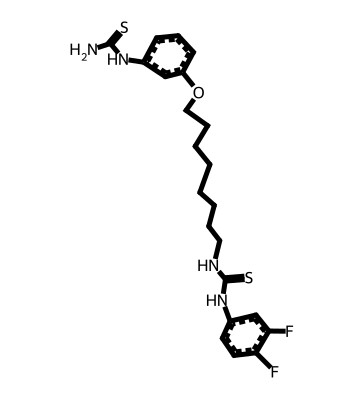 NC(=S)Nc1cccc(OCCCCCCCCNC(=S)Nc2ccc(F)c(F)c2)c1